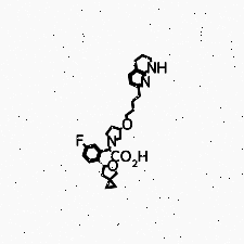 O=C(O)[C@H](c1cc(F)ccc1[C@H]1CC2(CC2)CO1)N1CC[C@@H](OCCCCc2ccc3c(n2)NCCC3)C1